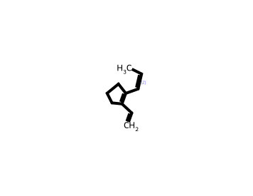 C=CC1=C(/C=C\C)CCC1